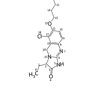 CCC1C(=O)NC2=Nc3ccc(OCCCO)c(Cl)c3CN21